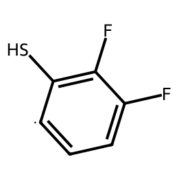 Fc1cc[c]c(S)c1F